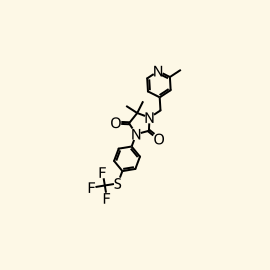 Cc1cc(CN2C(=O)N(c3ccc(SC(F)(F)F)cc3)C(=O)C2(C)C)ccn1